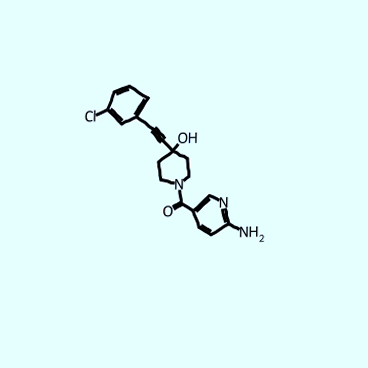 Nc1ccc(C(=O)N2CCC(O)(C#Cc3cccc(Cl)c3)CC2)cn1